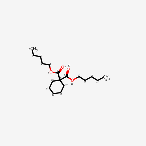 CCCCCOC(=O)C1(C(=O)OCCCCC)CCCCC1